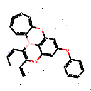 C=CC1=C(/C=C\C)B2C3=CC=C=CC=C3Oc3cc(Oc4ccccc4)cc(c32)O1